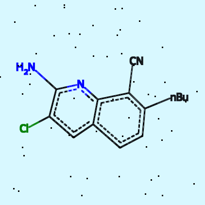 CCCCc1ccc2cc(Cl)c(N)nc2c1C#N